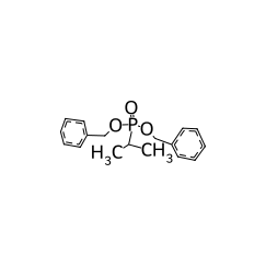 CC(C)P(=O)(OCc1ccccc1)OCc1ccccc1